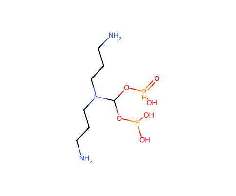 NCCCN(CCCN)C(OP(O)O)O[PH](=O)O